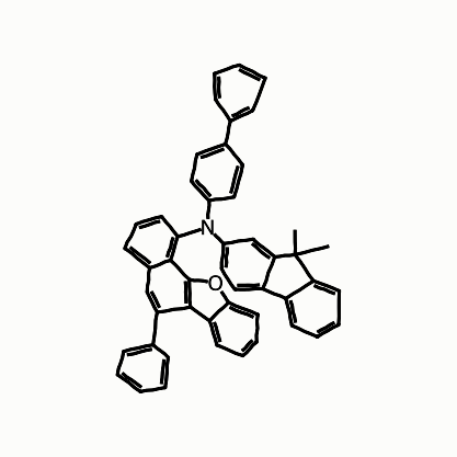 CC1(C)c2ccccc2-c2ccc(N(c3ccc(-c4ccccc4)cc3)c3cccc4cc(-c5ccccc5)c5c6ccccc6oc5c34)cc21